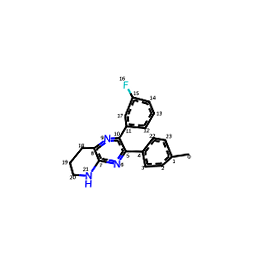 Cc1ccc(-c2nc3c(nc2-c2cccc(F)c2)CCCN3)cc1